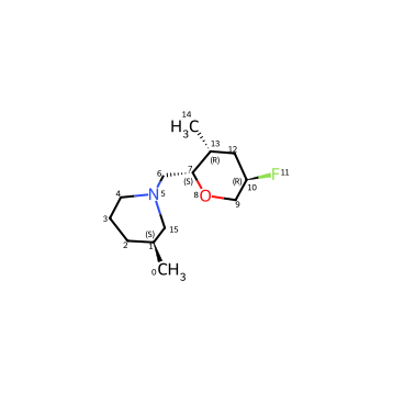 C[C@H]1CCCN(C[C@H]2OC[C@H](F)C[C@H]2C)C1